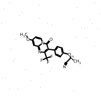 COc1ccn2c(=O)c(-c3ccc(O[C@@H](C)C#N)cc3)c(C(F)(F)F)nc2c1